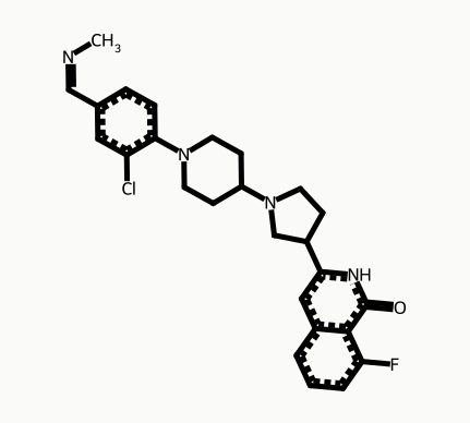 C/N=C\c1ccc(N2CCC(N3CCC(c4cc5cccc(F)c5c(=O)[nH]4)C3)CC2)c(Cl)c1